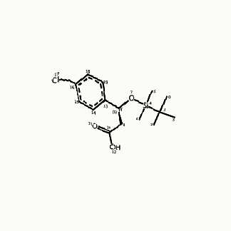 CC(C)(C)[Si](C)(C)O[C@@H](CC(=O)O)c1ccc(Cl)cc1